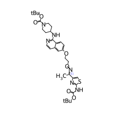 C/C(=N\OCCOc1ccc2c(NC3CCN(C(=O)OC(C)(C)C)CC3)nccc2c1)c1csc(NC(=O)OC(C)(C)C)n1